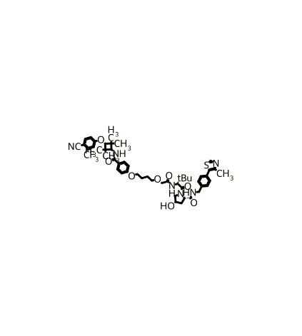 Cc1ncsc1-c1ccc(CNC(=O)[C@@H]2C[C@@H](O)CN2C(=O)[C@@H](NC(=O)COCCCCOc2ccc(C(=O)NC3C(C)(C)C(Oc4ccc(C#N)c(C(F)(F)F)c4)C3(C)C)cc2)C(C)(C)C)cc1